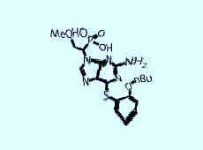 CCCCOc1ccccc1Sc1nc(N)nc2c1ncn2C(COC)P(=O)(O)O